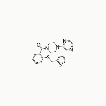 O=C(c1ccccc1SCc1cccs1)N1CCN(c2cnccn2)CC1